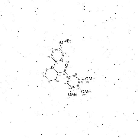 CCOc1ccc(C2CCCCC2C(=O)c2cc(OC)c(OC)c(OC)c2)cc1